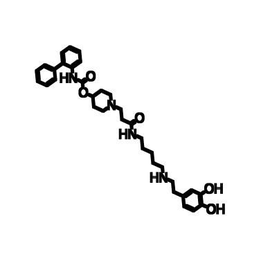 O=C(CCN1CCC(OC(=O)Nc2ccccc2-c2ccccc2)CC1)NCCCCCNCCc1ccc(O)c(O)c1